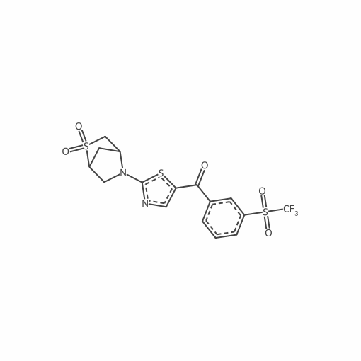 O=C(c1cccc(S(=O)(=O)C(F)(F)F)c1)c1cnc(N2CC3CC2CS3(=O)=O)s1